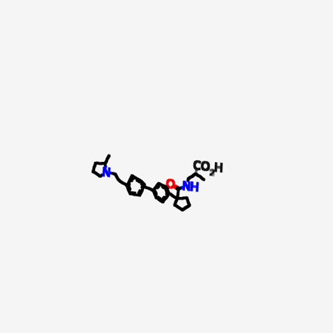 CC1CCCN1CCc1ccc(-c2ccc(C3(C(=O)NC[C@@H](C)C(=O)O)CCCC3)cc2)cc1